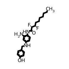 CCCCCCC[C@H](F)[C@@H](F)C(=O)Nc1ccc(NCc2ccc(O)cc2)cc1N